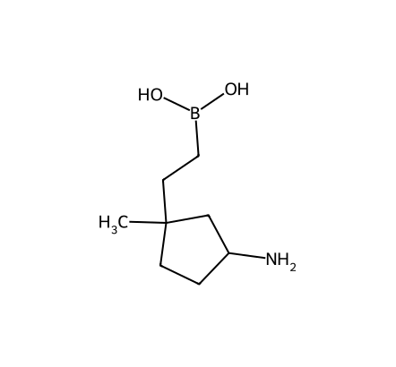 CC1(CCB(O)O)CCC(N)C1